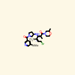 CNc1cncc(C(=O)N2CCC(NC(=C(/C)C(=O)N3CCOC(C)C3)/C(=C\CBr)[N+](=O)[O-])C2)c1